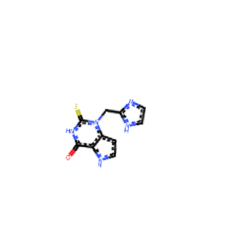 O=c1[nH]c(=S)n(Cc2ncc[nH]2)c2cc[nH]c12